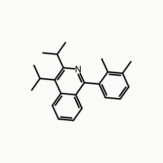 Cc1cccc(-c2nc(C(C)C)c(C(C)C)c3ccccc23)c1C